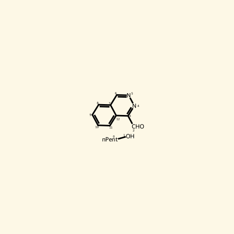 CCCCCO.O=Cc1nncc2ccccc12